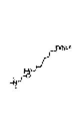 CCCCCCCCCCCCCCCCPOCC[N+](C)(C)C